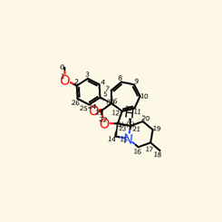 COc1ccc([C@@]23C=CC=CC=C2[C@@]2(CN4CC(C)CC[C@H]42)OC3=O)cc1